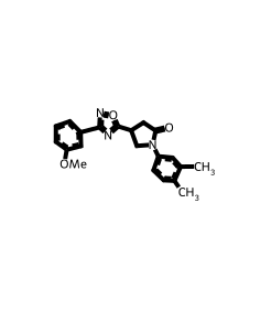 COc1cccc(-c2noc(C3CC(=O)N(c4ccc(C)c(C)c4)C3)n2)c1